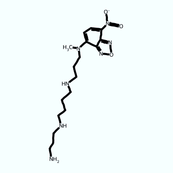 CN(CCCNCCCCNCCCN)c1ccc([N+](=O)[O-])c2nonc12